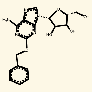 Nc1nc(OCc2ccccc2)nc2c1ncn2[C@@H]1O[C@H](CO)C(O)C1O